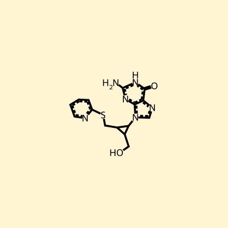 Nc1nc2c(ncn2C2C(CO)C2CSc2ccccn2)c(=O)[nH]1